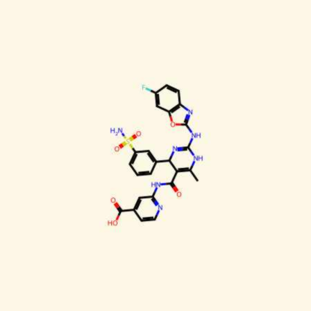 CC1=C(C(=O)Nc2cc(C(=O)O)ccn2)C(c2cccc(S(N)(=O)=O)c2)N=C(Nc2nc3ccc(F)cc3o2)N1